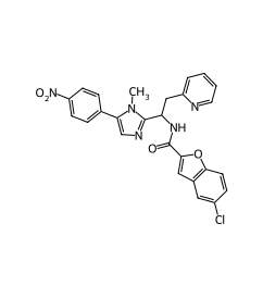 Cn1c(-c2ccc([N+](=O)[O-])cc2)cnc1C(Cc1ccccn1)NC(=O)c1cc2cc(Cl)ccc2o1